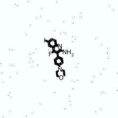 Nc1nc2ccc(I)cc2c(F)c1-c1ccc(N2CCOCC2)cc1